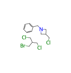 ClCC(CCl)CBr.ClCC1CN(Cc2ccccc2)C1